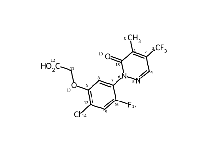 Cc1c(C(F)(F)F)cnn(-c2cc(OCC(=O)O)c(Cl)cc2F)c1=O